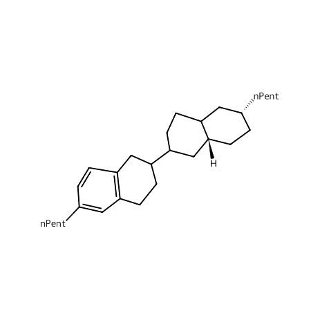 CCCCCc1ccc2c(c1)CCC(C1CCC3C[C@H](CCCCC)CC[C@@H]3C1)C2